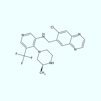 C[C@H]1CN(c2c(NCc3cc4nccnc4cc3Cl)cncc2C(F)(F)F)CCN1